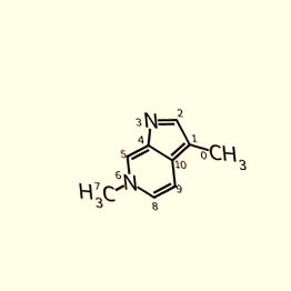 Cc1cnc2cn(C)ccc1-2